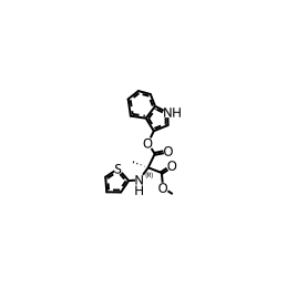 COC(=O)[C@@](C)(Nc1cccs1)C(=O)Oc1c[nH]c2ccccc12